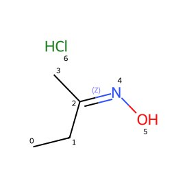 CC/C(C)=N\O.Cl